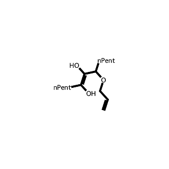 C=CCOC(CCCCC)C(O)=C(O)CCCCC